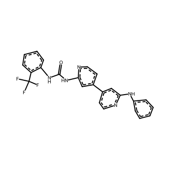 O=C(Nc1cc(-c2ccnc(Nc3ccccc3)c2)ccn1)Nc1ccccc1C(F)(F)F